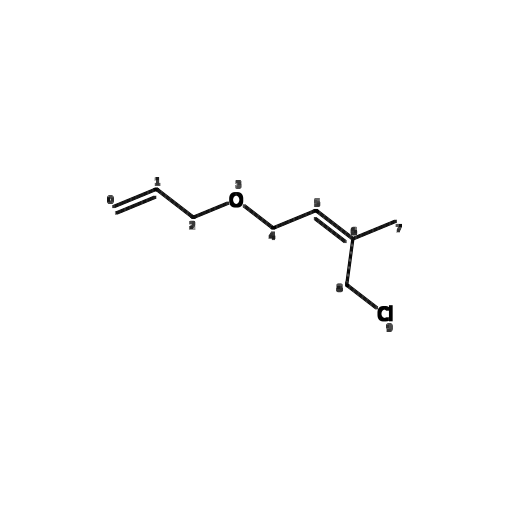 C=CCOCC=C(C)CCl